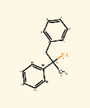 CC(P)(Cc1ccccc1)c1ccccc1